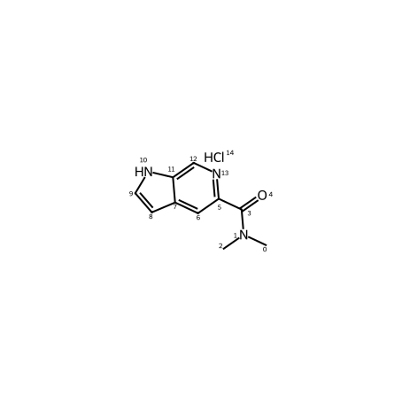 CN(C)C(=O)c1cc2cc[nH]c2cn1.Cl